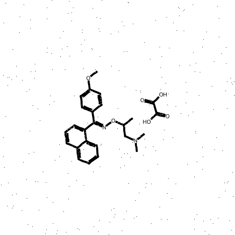 COc1ccc(C(=NOC(C)CN(C)C)c2cccc3ccccc23)cc1.O=C(O)C(=O)O